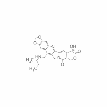 CCC(C)NCc1c2c(nc3cc4c(cc13)OCO4)-c1cc3c(c(=O)n1C2)COC(=O)[C@H]3O